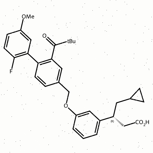 COc1ccc(F)c(-c2ccc(COc3cccc([C@@H](CC(=O)O)CC4CC4)c3)cc2C(=O)C(C)(C)C)c1